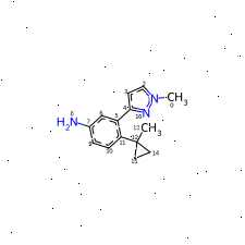 Cn1ccc(-c2cc(N)ccc2C2(C)CC2)n1